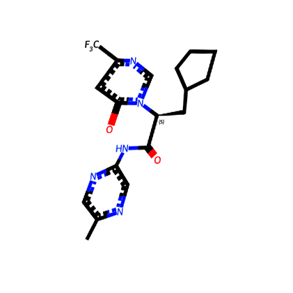 Cc1cnc(NC(=O)[C@H](CC2CCCC2)n2cnc(C(F)(F)F)cc2=O)cn1